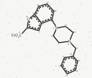 CCOC(=O)c1cc2c(N3CCN(Cc4ccccc4)CC3)cccc2o1